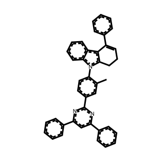 Cc1cc(-c2nc(-c3ccccc3)cc(-c3ccccc3)n2)ccc1-n1c2c(c3ccccc31)C(c1ccccc1)=CCC2